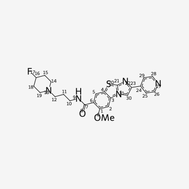 COc1cc2c(cc1C(=O)NCCCN1CCC(F)CC1)sc1nc(-c3ccncc3)cn12